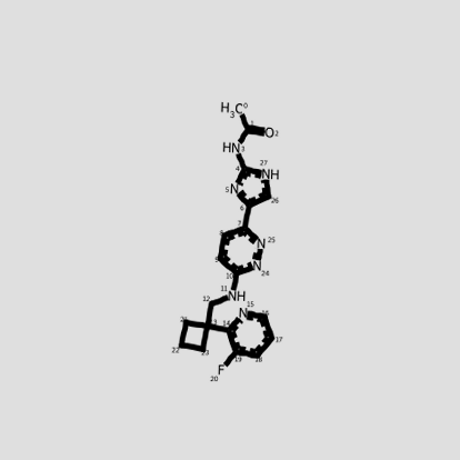 CC(=O)Nc1nc(-c2ccc(NCC3(c4ncccc4F)CCC3)nn2)c[nH]1